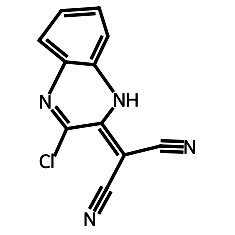 N#CC(C#N)=C1Nc2ccccc2N=C1Cl